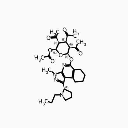 CCCN1CCC[C@@H]1c1nn(C)c2nc(O[C@H]3O[C@@H](OC(C)=O)[C@@H](C(C)=O)[C@@H](C(C)=O)[C@H]3C(C)=O)c3c(c12)CCCC3